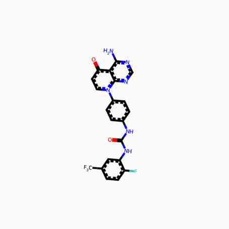 Nc1ncnc2c1c(=O)ccn2-c1ccc(NC(=O)Nc2cc(C(F)(F)F)ccc2F)cc1